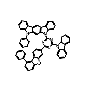 C1=CCCC(n2c3ccccc3c3cc4c5ccccc5n(-c5nc(-c6ccc7c(c6)oc6cccc(-c8ccccc8)c67)nc(-n6c7ccccc7c7ccccc76)n5)c4cc32)=C1